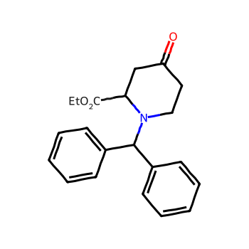 CCOC(=O)C1CC(=O)CCN1C(c1ccccc1)c1ccccc1